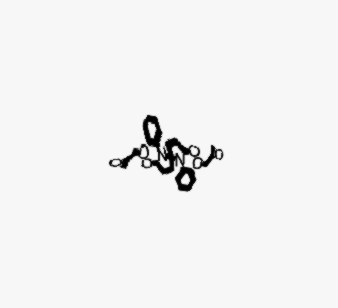 O=C1CCC2(CCC(=O)N2c2ccccc2OCC2CO2)N1c1ccccc1OCC1CO1